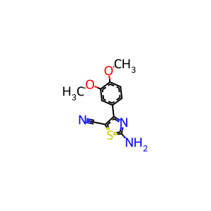 COc1ccc(-c2nc(N)sc2C#N)cc1OC